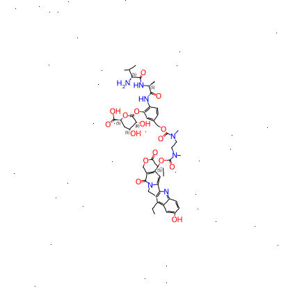 CCc1c2c(nc3ccc(O)cc13)-c1cc3c(c(=O)n1C2)COC(=O)[C@@]3(CC)OC(=O)N(C)CCN(C)C(=O)OCc1ccc(NC(=O)[C@H](C)NC(=O)[C@@H](N)C(C)C)c(O[C@@H]2O[C@H](C(=O)O)C[C@H](O)[C@H]2O)c1